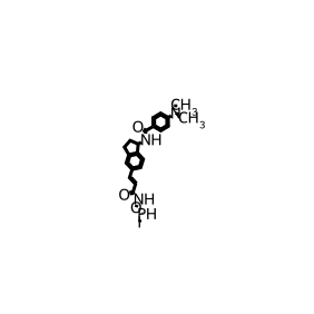 CN(C)c1ccc(C(=O)NC2CCc3cc(/C=C/C(=O)NOPI)ccc32)cc1